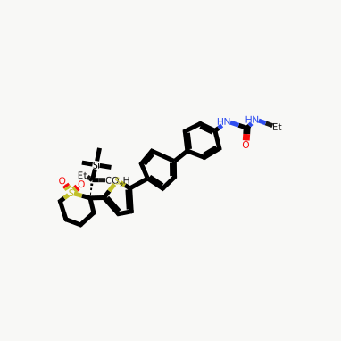 CCNC(=O)Nc1ccc(-c2ccc(-c3ccc([C@@]4(C(CC)(C(=O)O)[Si](C)(C)C)CCCCS4(=O)=O)s3)cc2)cc1